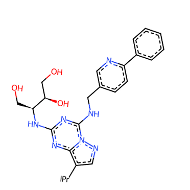 CC(C)c1cnn2c(NCc3ccc(-c4ccccc4)nc3)nc(N[C@@H](CO)[C@H](O)CO)nc12